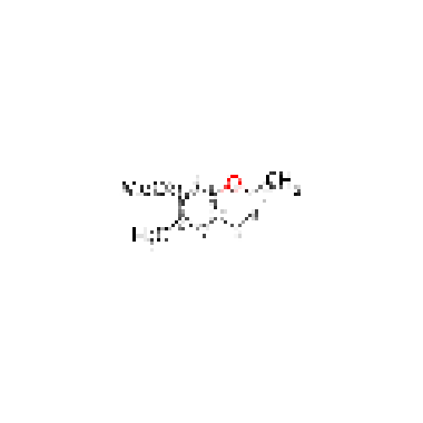 COc1cc2c(cc1C)CCC(C)O2